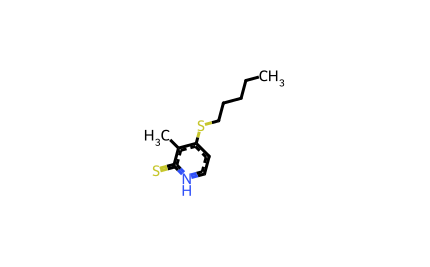 CCCCCSc1cc[nH]c(=S)c1C